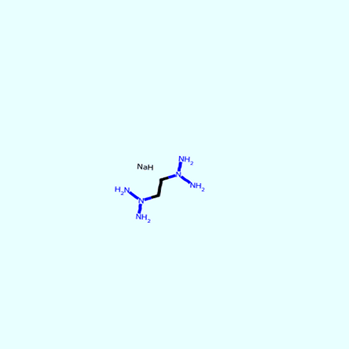 NN(N)CCN(N)N.[NaH]